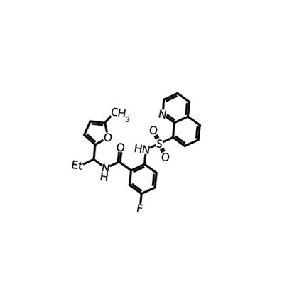 CCC(NC(=O)c1cc(F)ccc1NS(=O)(=O)c1cccc2cccnc12)c1ccc(C)o1